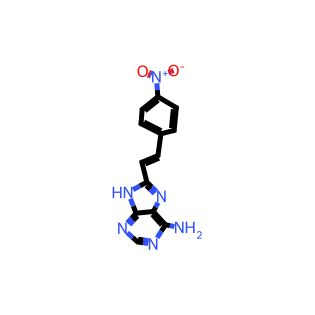 Nc1ncnc2[nH]c(C=Cc3ccc([N+](=O)[O-])cc3)nc12